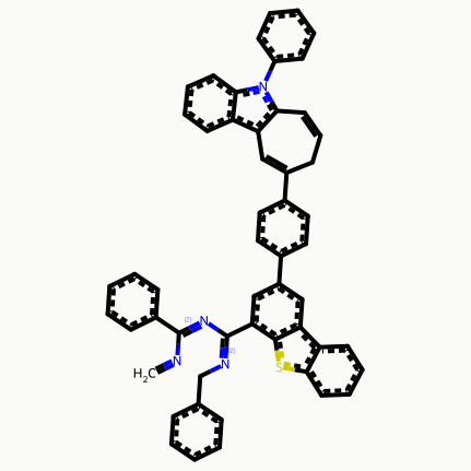 C=N/C(=N\C(=N/Cc1ccccc1)c1cc(-c2ccc(C3=Cc4c(n(-c5ccccc5)c5ccccc45)C=CC3)cc2)cc2c1sc1ccccc12)c1ccccc1